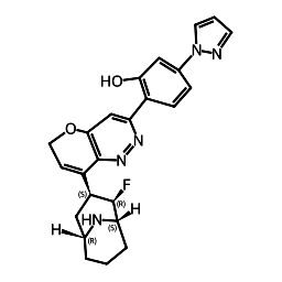 Oc1cc(-n2cccn2)ccc1-c1cc2c(nn1)C([C@@H]1C[C@H]3CCC[C@H](N3)[C@@H]1F)=CCO2